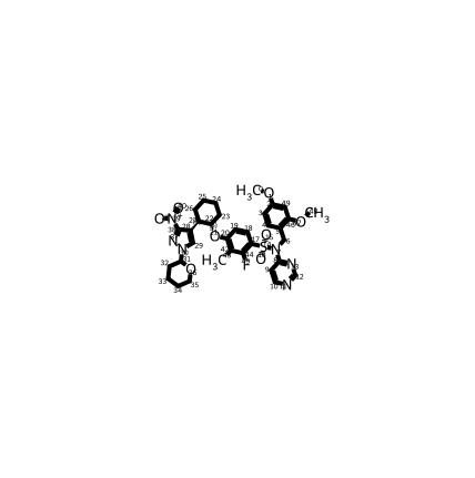 COc1ccc(CN(c2ccncn2)S(=O)(=O)c2ccc(O[C@H]3CCCC[C@@H]3c3cn(C4CCCCO4)nc3[N+](=O)[O-])c(C)c2F)c(OC)c1